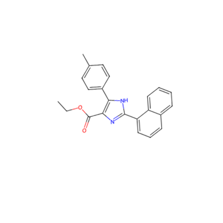 CCOC(=O)c1nc(-c2cccc3ccccc23)[nH]c1-c1ccc(C)cc1